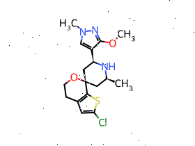 COc1nn(C)cc1[C@@H]1C[C@]2(C[C@H](C)N1)OCCc1cc(Cl)sc12